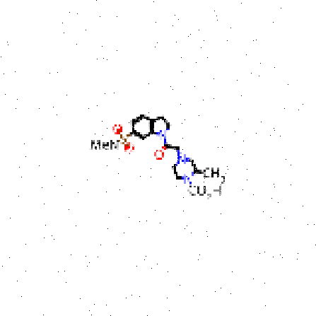 CNS(=O)(=O)c1ccc2c(c1)N(C(=O)CN1CCN(C(=O)O)C(C)C1)CC2